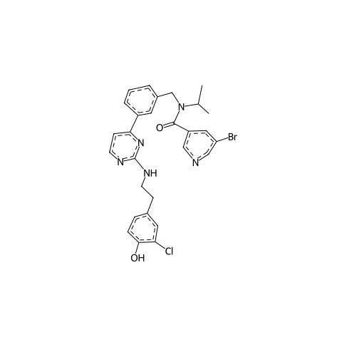 CC(C)N(Cc1cccc(-c2ccnc(NCCc3ccc(O)c(Cl)c3)n2)c1)C(=O)c1cncc(Br)c1